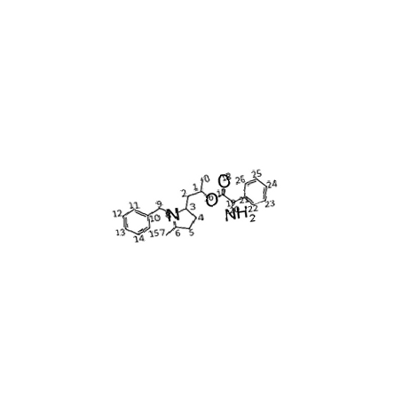 CC(CC1CCC(C)N1Cc1ccccc1)OC(=O)C(N)c1ccccc1